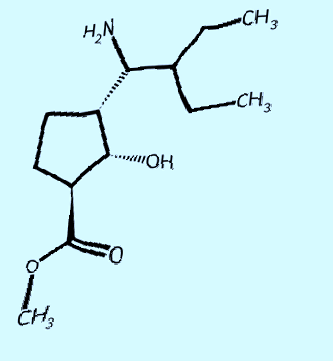 CCC(CC)C(N)[C@H]1CC[C@H](C(=O)OC)[C@H]1O